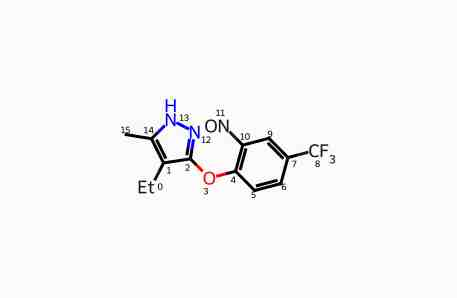 CCc1c(Oc2ccc(C(F)(F)F)cc2N=O)n[nH]c1C